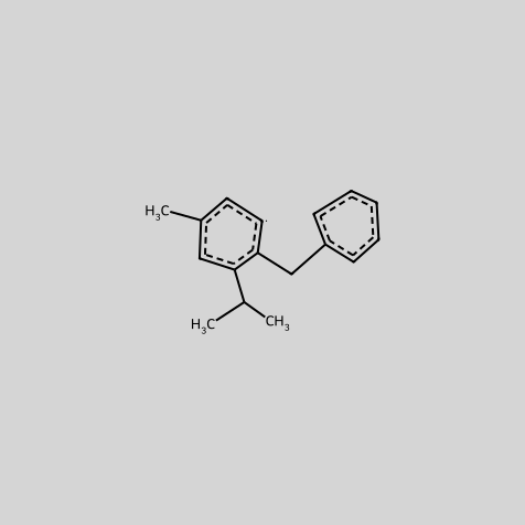 Cc1c[c]c(Cc2ccccc2)c(C(C)C)c1